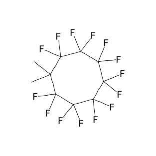 CC1(C)C(F)(F)C(F)(F)C(F)(F)C(F)(F)C(F)(F)C(F)(F)C1(F)F